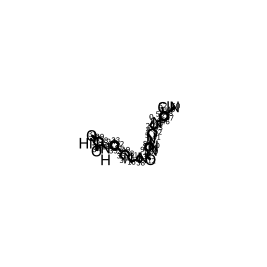 C[C@H]1CC2(CCN(c3ccc(C(=O)N4CC(CN5CCC(c6cccc(NC7CCC(=O)NC7=O)c6)CC5)C4)nn3)CC2)CN1c1ccc(C#N)c(Cl)c1